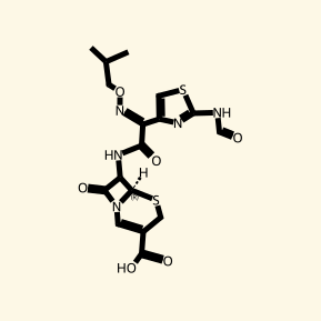 CC(C)CON=C(C(=O)NC1C(=O)N2C=C(C(=O)O)CS[C@H]12)c1csc(NC=O)n1